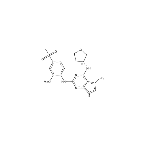 COc1cc(S(C)(=O)=O)ccc1Nc1nc(N[C@@H]2CCOC2)c2c(C(F)(F)F)c[nH]c2n1